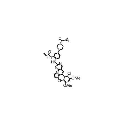 C=CC(=O)Nc1cc(N2CCN(C(=O)C3CC3)CC2)ccc1Nc1ncc2cc(C3C(Cl)=C(OC)C=C(OC)C3Cl)c3nccn3c2n1